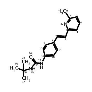 Cc1cccc(C=Cc2ccc(NC(=O)NC(C)(C)C)cc2)n1